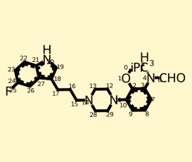 CC(C)Oc1c(N(C)C=O)cccc1N1CCN(CCCc2c[nH]c3ccc(F)cc23)CC1